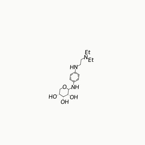 CCN(CC)CCNc1ccc(NC2OC[C@@H](O)[C@@H](O)[C@H]2O)cc1